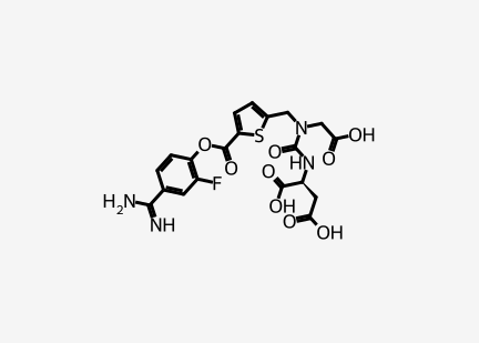 N=C(N)c1ccc(OC(=O)c2ccc(CN(CC(=O)O)C(=O)N[C@@H](CC(=O)O)C(=O)O)s2)c(F)c1